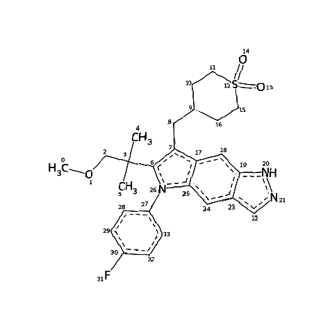 COCC(C)(C)c1c(CC2CCS(=O)(=O)CC2)c2cc3[nH]ncc3cc2n1-c1ccc(F)cc1